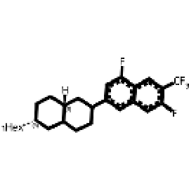 CCCCCC[C@@H]1CC[C@@H]2CC(c3cc(F)c4cc(C(F)(F)F)c(F)cc4c3)CCC2C1